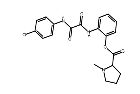 CN1CCCC1C(=O)Oc1ccccc1NC(=O)C(=O)Nc1ccc(Cl)cc1